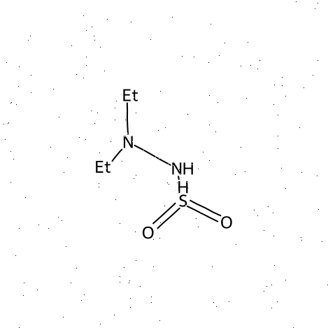 CCN(CC)N[SH](=O)=O